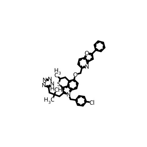 CC1Cc2c(OCc3ccc4oc(-c5ccccc5)cc4n3)ccc3c2c(c(CC(C)(C)Cc2nnn[nH]2)n3Cc2ccc(Cl)cc2)S1